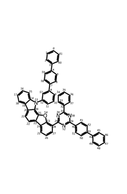 c1ccc(-c2ccc(-c3cccc(-n4c5ccccc5c5ccc6c7cccc(-c8nc(-c9ccccc9)nc(-c9ccc(-c%10ccccc%10)cc9)n8)c7oc6c54)c3)cc2)cc1